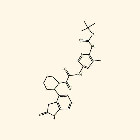 Cc1cc(NC(=O)C(=O)N2CCCCC2c2cccc3c2CC(=O)N3)cnc1NC(=O)OC(C)(C)C